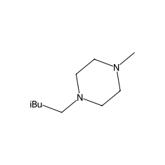 CCC(C)CN1CCN(C)CC1